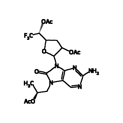 CC(=O)OC1CC([C@@H](OC(C)=O)C(F)(F)F)OC1n1c(=O)n(C[C@H](C)OC(C)=O)c2cnc(N)nc21